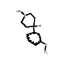 CCCCN1CCC(C#N)(c2cccc(OC(F)(F)F)c2)CC1